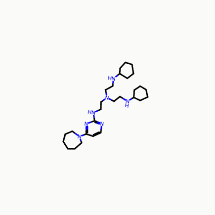 c1cc(N2CCCCCC2)nc(NCCN(CCNC2CCCCC2)CCNC2CCCCC2)n1